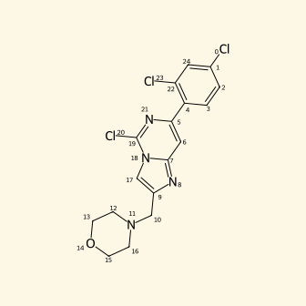 Clc1ccc(-c2cc3nc(CN4CCOCC4)cn3c(Cl)n2)c(Cl)c1